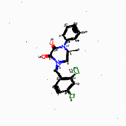 C[C@H]1CN(Cc2ccc(Cl)cc2Cl)C(=O)C(=O)N1c1ccccc1